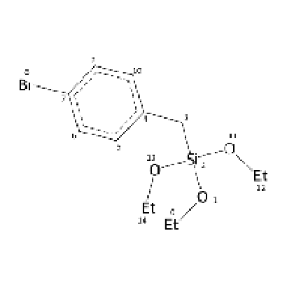 CCO[Si](Cc1ccc(Br)cc1)(OCC)OCC